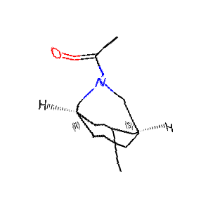 CC(=O)N1C[C@H]2CC[C@@H]1CC2C